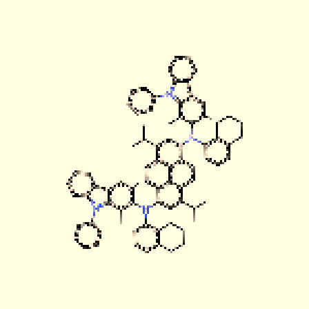 Cc1cc2c3ccccc3n(-c3ccccc3)c2c(C)c1N(c1cccc2c1CCCC2)c1cc(C(C)C)c2ccc3c(N(c4cccc5c4CCCC5)c4c(C)cc5c6ccccc6n(-c6ccccc6)c5c4C)cc(C(C)C)c4ccc1c2c43